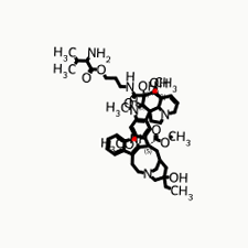 CCC1(O)CC2CN(CCc3c([nH]c4ccccc34)[C@@](C(=O)OC)(c3cc4c(cc3OC)N(C)[C@H]3C45CCN4CC=C[C@](CC)(C45)[C@@H](O)[C@]3(O)C(=O)NCCCOC(=O)C(N)C(C)C)C2)C1